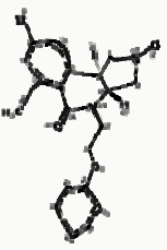 CCc1cc(C)c2c(c1)[C@H]1CN(Cl)C[C@@H]1N(CCOc1ccccc1)C2=O